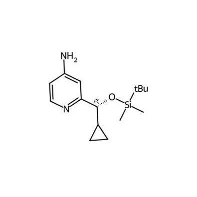 CC(C)(C)[Si](C)(C)O[C@@H](c1cc(N)ccn1)C1CC1